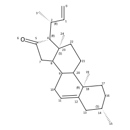 C=C[C@@H](C)[C@H]1C(=O)CC2C3CC=C4C[C@@H](C)CC[C@]4(C)C3CC[C@@]21C